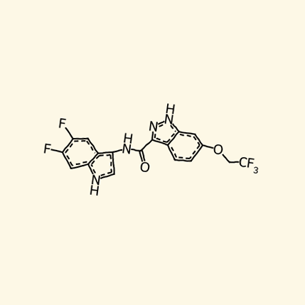 O=C(Nc1c[nH]c2cc(F)c(F)cc12)c1n[nH]c2cc(OCC(F)(F)F)ccc12